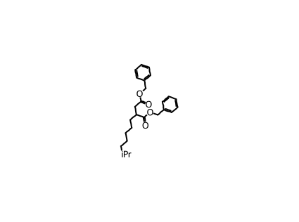 CC(C)CCCCCC(CC(=O)OCc1ccccc1)C(=O)OCc1ccccc1